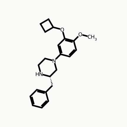 COc1ccc(N2CCN[C@@H](Cc3ccccc3)C2)cc1OC1CCC1